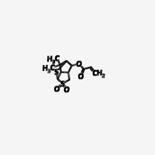 C=CC(=O)OC1C2CS(=O)(=O)C3SC1C(C)(C)C23